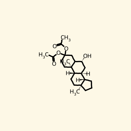 CC(=O)OC1(OC(C)=O)CC[C@@]2(C)C(C1)[C@H](O)C[C@H]1[C@@H]3CCC[C@@]3(C)CC[C@@H]12